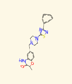 CC1Oc2ccc(CN3CCN(c4nc(-c5ccccc5)ns4)CC3)cc2NC1=O